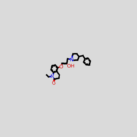 CCN1C(=O)CCc2c(OCC(O)CN3CCC(Cc4ccccc4)CC3)cccc21